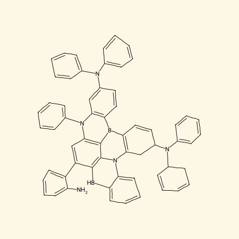 Nc1ccccc1-c1cc2c3c4c1Bc1ccccc1N4C1=C(C=CC(N(c4ccccc4)C4C=CC=CC4)C1)B3c1ccc(N(c3ccccc3)c3ccccc3)cc1N2c1ccccc1